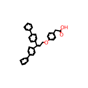 O=C(O)Cc1ccc(OCC=C(c2ccc(-c3ccccc3)cc2)c2ccc(-c3ccccc3)cc2)cc1